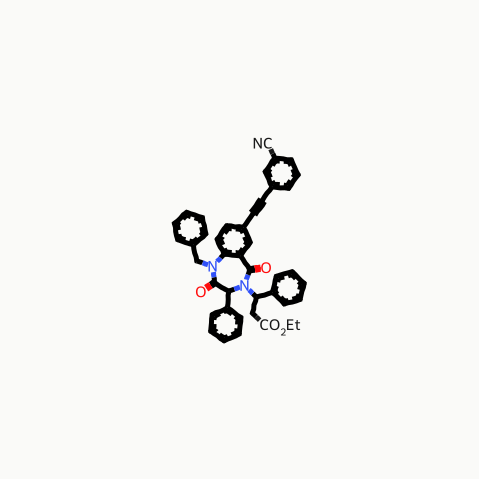 CCOC(=O)CC(c1ccccc1)N1C(=O)c2cc(C#Cc3cccc(C#N)c3)ccc2N(Cc2ccccc2)C(=O)C1c1ccccc1